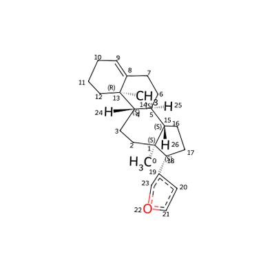 C[C@]12CC[C@H]3[C@@H](CCC4=CCCC[C@@]43C)[C@@H]1CC[C@@H]2c1ccoc1